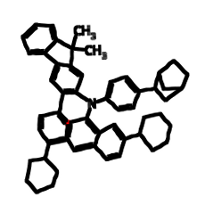 CC1(C)c2ccccc2-c2cc(-c3ccc(C4CCCCC4)cc3)c(N(c3ccc(C4CC5CCC4C5)cc3)c3cccc4ccc(C5CCCCC5)cc34)cc21